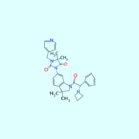 CC1(C)CN(C(=O)C(c2ccccc2)N2CCC2)c2cc(N3C(=O)N(Cc4ccncc4)C(C)(C)C3=O)ccc21